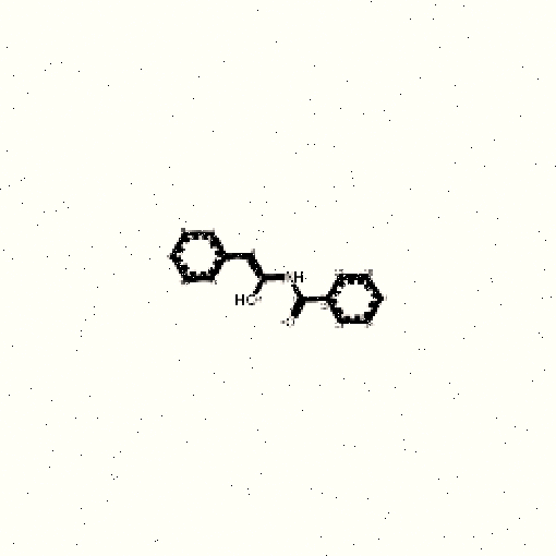 O=C(NC(O)=Cc1ccccc1)c1ccccc1